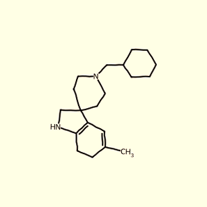 CC1=CC2=C(CC1)NCC21CCN(CC2CCCCC2)CC1